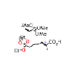 C=C[Si](OC)(OC)OC.CCO[Si](CCC/C=C(\C)C(=O)O)(OCC)OCC